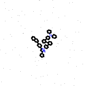 c1ccc(-c2cc(-c3ccc(-c4ccc5ccccc5c4)cc3)n(-c3ccc(-c4ccccc4-c4ccccc4-c4ccc(N(c5ccccc5)c5ccccc5)cc4)cc3)n2)cc1